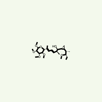 CC[C@H](OC)[C@@H](C)[C@@H]1C[C@H]1[C@H](O)[C@@H](C)/C=C/C=C(\C)[C@H]1O[C@H](OC)[C@@H](OC)[C@@H](OC)[C@@H]1OC